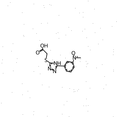 C[N+](=O)c1cccc(-c2nnc(SCC(=O)O)[nH]2)c1